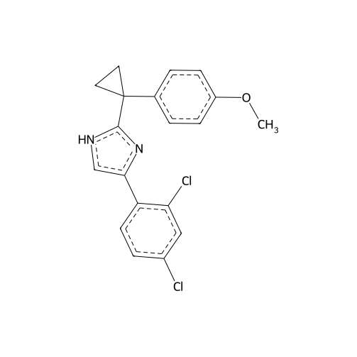 COc1ccc(C2(c3nc(-c4ccc(Cl)cc4Cl)c[nH]3)CC2)cc1